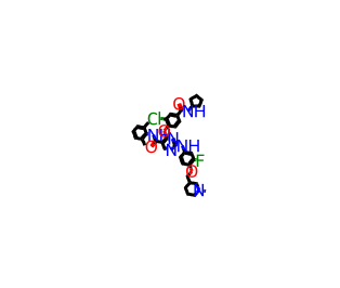 Cc1cccc(C)c1NC(=O)c1cnc(Nc2ccc(OCC3CCCN(C)C3)c(F)c2)nc1Oc1ccc(C(=O)NC2CCCC2)cc1Cl